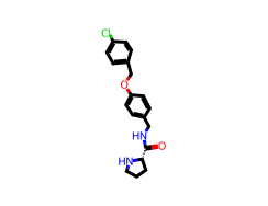 O=C(NCc1ccc(OCc2ccc(Cl)cc2)cc1)[C@@H]1CCCN1